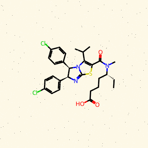 CC[C@H](CCCC(=O)O)N(C)C(=O)C1=C(C(C)C)N2C(=N[C@@H](c3ccc(Cl)cc3)[C@H]2c2ccc(Cl)cc2)S1